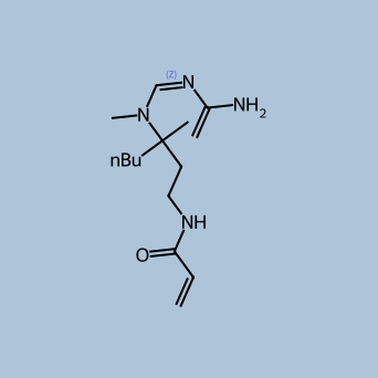 C=CC(=O)NCCC(C)(CCCC)N(C)/C=N\C(=C)N